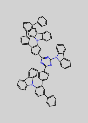 c1ccc(-c2cccc(-c3cccc(-c4ccc(-c5nc(-c6ccc(-c7cc(-c8ccccc8)ccc7-n7c8ccccc8c8ccccc87)cc6)nc(-n6c7ccccc7c7ccccc76)n5)cc4-n4c5ccccc5c5ccccc54)c3)c2)cc1